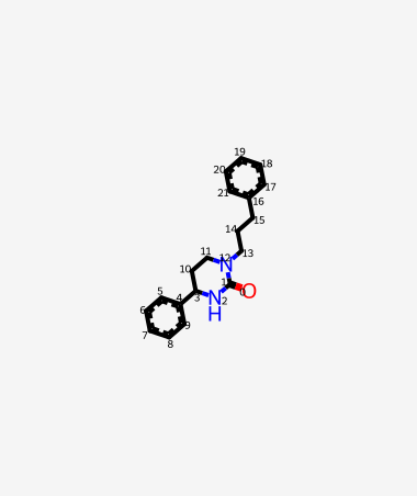 O=C1NC(c2ccccc2)CCN1CCCc1ccccc1